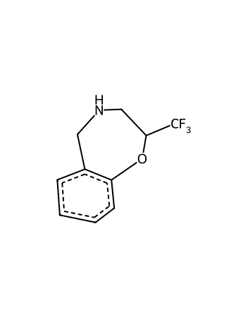 FC(F)(F)C1CNCc2ccccc2O1